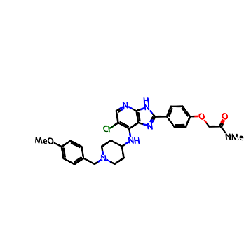 CNC(=O)COc1ccc(-c2nc3c(NC4CCN(Cc5ccc(OC)cc5)CC4)c(Cl)cnc3[nH]2)cc1